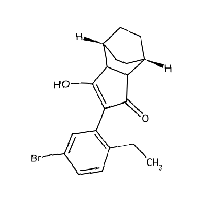 CCc1ccc(Br)cc1C1=C(O)C2C(C1=O)[C@H]1CC[C@@H]2CC1